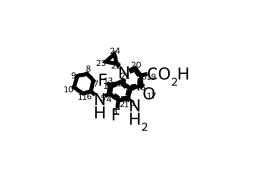 Nc1c(F)c(NC2CCCCC2)c(F)c2c1c(=O)c(C(=O)O)cn2C1CC1